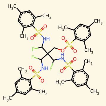 Cc1cc(C)c(S(=O)(=O)NC(F)C(COS(=O)(=O)c2c(C)cc(C)cc2C)(C(F)NS(=O)(=O)c2c(C)cc(C)cc2C)C(F)NS(=O)(=O)c2c(C)cc(C)cc2C)c(C)c1